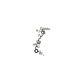 CNC(=O)C1(C)CN(C[C@@H](F)CCc2nnc(NC(=O)Cc3cccc(OC(F)(F)F)c3)s2)N=N1